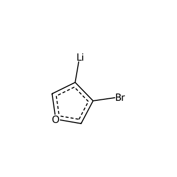 [Li][c]1cocc1Br